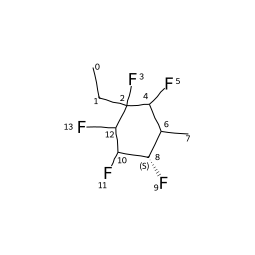 CCC1(F)C(F)C(C)[C@H](F)C(F)C1F